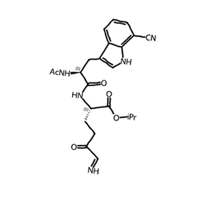 CC(=O)N[C@@H](Cc1c[nH]c2c(C#N)cccc12)C(=O)N[C@@H](CCC(=O)C=N)C(=O)OC(C)C